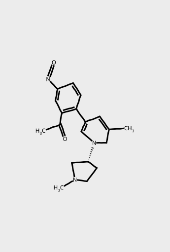 CC(=O)c1cc(N=O)ccc1C1=CN([C@@H]2CCN(C)C2)CC(C)=C1